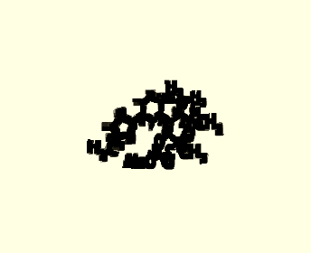 COC(=O)OC1=C(c2cc(-c3ccc(C)s3)ccc2C)C(=O)C(C)(C)OC1(C)C